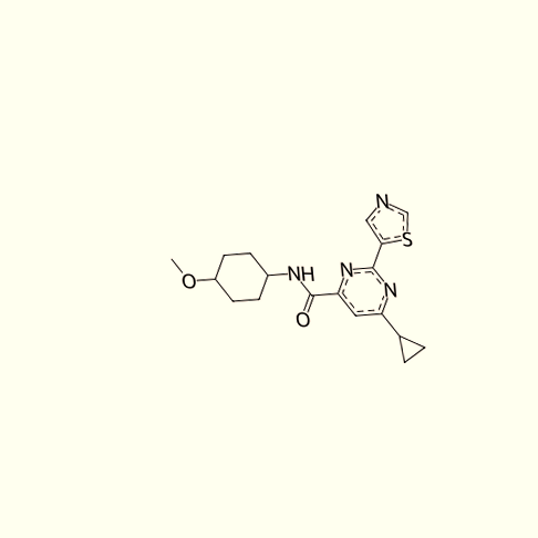 COC1CCC(NC(=O)c2cc(C3CC3)nc(-c3cncs3)n2)CC1